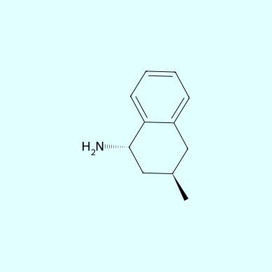 C[C@@H]1Cc2ccccc2[C@@H](N)C1